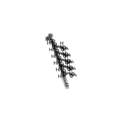 C=CCOC(=O)NCCCCCC(=O)N(CCNC(=O)CN(CCNC(=O)CN(CCNC(=O)CN(CCNC(=O)CN(CCNC(=O)OCC1c2ccccc2-c2ccccc21)C(=O)CCCCCNC(=O)OCC=C)C(=O)CCCCCNC(=O)OCC=C)C(=O)CCCCCNC(=O)OCC=C)C(=O)CCCCCNC(=O)OCC=C)CC(=O)NCCCCCCCCCC